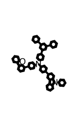 c1ccc(-c2cc(-c3ccccc3)cc(-c3ccc(N(c4ccc(-c5ccc6c(c5)c5ccccc5n6-c5ccccc5)cc4)c4ccc(-c5cccc6c5oc5ccccc56)cc4)cc3)c2)cc1